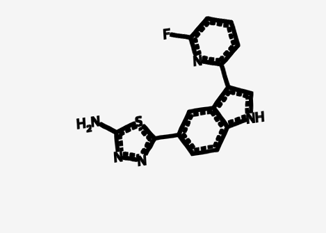 Nc1nnc(-c2ccc3[nH]cc(-c4cccc(F)n4)c3c2)s1